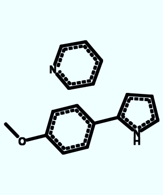 COc1ccc(-c2ccc[nH]2)cc1.c1ccncc1